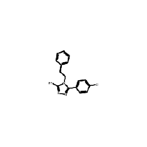 Sc1nnc(-c2ccc(Cl)cc2)n1CCc1ccccc1